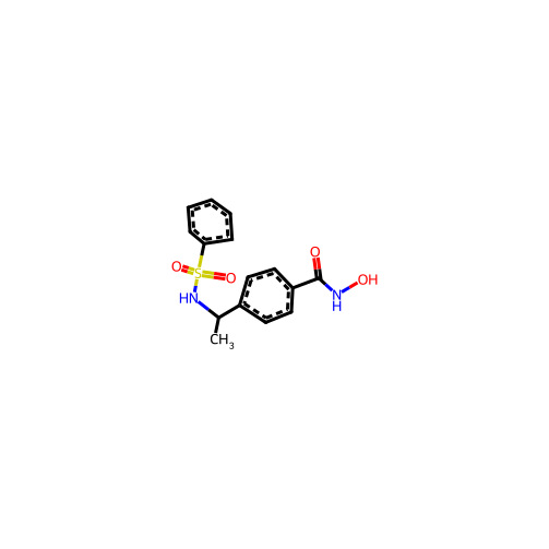 CC(NS(=O)(=O)c1ccccc1)c1ccc(C(=O)NO)cc1